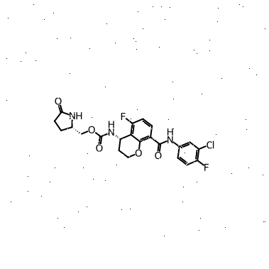 O=C1CC[C@@H](COC(=O)N[C@H]2CCOc3c(C(=O)Nc4ccc(F)c(Cl)c4)ccc(F)c32)N1